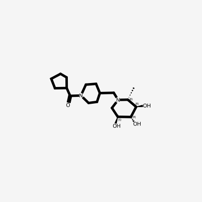 C[C@@H]1[C@@H](O)[C@H](O)[C@@H](O)CN1CC1CCN(C(=O)C2CCCC2)CC1